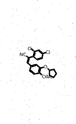 COc1ccc(C=C(C#N)c2ccc(Cl)cc2Cl)cc1OC1CCCC1